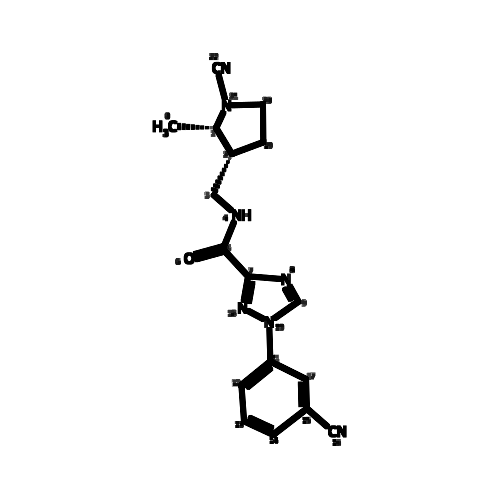 C[C@H]1[C@@H](CNC(=O)c2ncn(-c3cccc(C#N)c3)n2)CCN1C#N